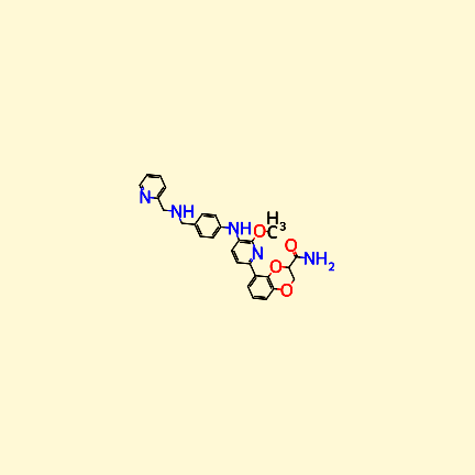 COc1nc(-c2cccc3c2OC(C(N)=O)CO3)ccc1Nc1ccc(CNCc2ccccn2)cc1